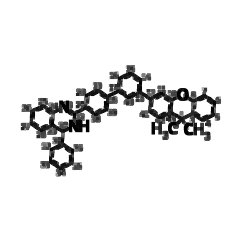 CC1(C)c2ccccc2Oc2cc(-c3cccc(-c4ccc(C5=Nc6ccccc6C(c6ccccc6)N5)cc4)c3)ccc21